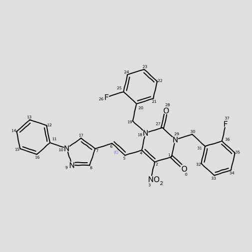 O=c1c([N+](=O)[O-])c(/C=C/c2cnn(-c3ccccc3)c2)n(Cc2ccccc2F)c(=O)n1Cc1ccccc1F